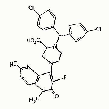 Cn1c(=O)c(F)c(N2CCN(C(c3ccc(Cl)cc3)c3ccc(Cl)cc3)C(C(=O)O)C2)c2nc(C#N)ccc21